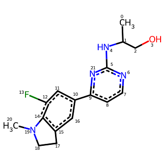 CC(CO)Nc1nccc(-c2cc(F)c3c(c2)CCN3C)n1